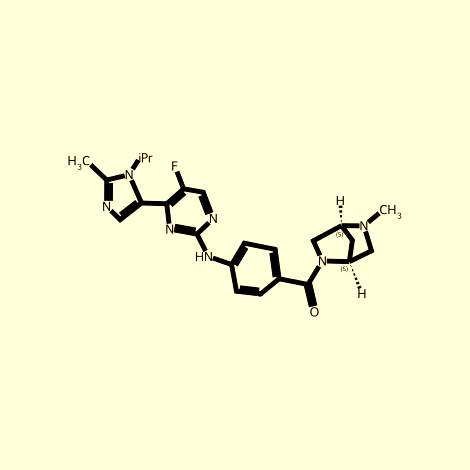 Cc1ncc(-c2nc(Nc3ccc(C(=O)N4C[C@@H]5C[C@H]4CN5C)cc3)ncc2F)n1C(C)C